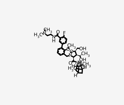 COc1c(CN2O[C@@H](CO)[C@@H]([C@H](C)O)[C@H]2C(=O)N[C@H]2C[C@H]3C[C@@H]([C@@H]2C)C3(C)C)cccc1-c1ccc(F)c(C(=O)NCCN(C)C)c1